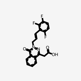 O=C(O)Cc1nn(CC=Cc2c(F)ccc(F)c2F)c(=O)c2ccccc12